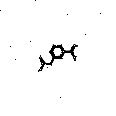 O=[N+]([O-])[CH]c1cccc([N+](=O)[O-])c1